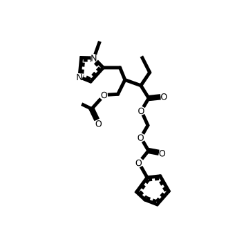 CCC(C(=O)OCOC(=O)Oc1ccccc1)C(COC(C)=O)Cc1cncn1C